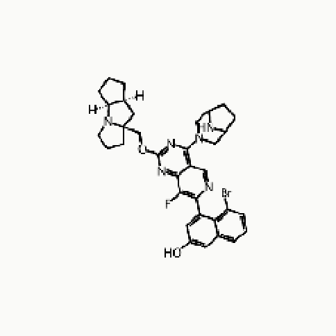 Oc1cc(-c2ncc3c(N4CC5CCC(C4)N5)nc(OC[C@@]45CCCN4[C@H]4CCC[C@H]4C5)nc3c2F)c2c(Br)cccc2c1